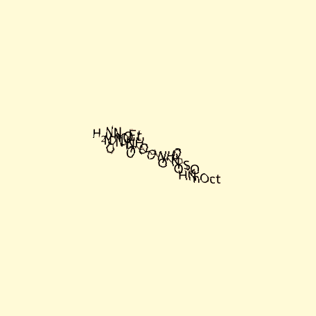 CCCCCCCCNC(=O)CSC1CC(=O)N(CCC(=O)NCCOCCOCCC(=O)NC(C)(C)Cn2c(COCC)nc3c(N)nc4ccccc4c32)C1=O